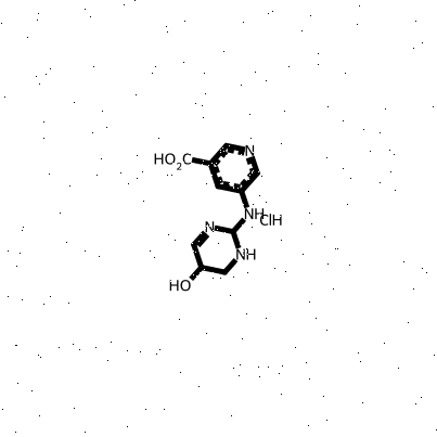 Cl.O=C(O)c1cncc(NC2N=CC(O)CN2)c1